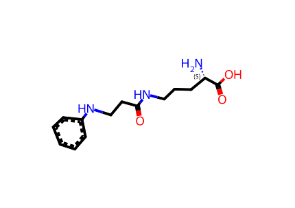 N[C@@H](CCCNC(=O)CCNc1ccccc1)C(=O)O